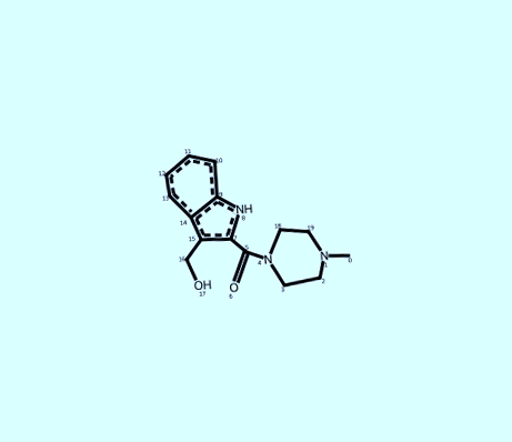 CN1CCN(C(=O)c2[nH]c3ccccc3c2CO)CC1